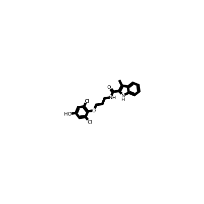 Cc1c(C(=O)NCCCOc2c(Cl)cc(O)cc2Cl)[nH]c2ccccc12